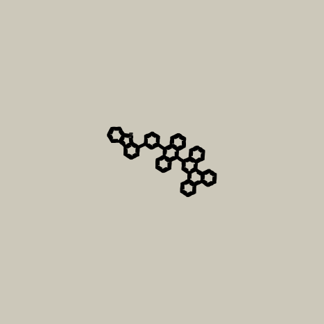 c1cc(-c2c3ccccc3c(-c3cc4c5ccccc5c5ccccc5c4c4ccccc34)c3ccccc23)cc(-c2cccc3c2sc2ccccc23)c1